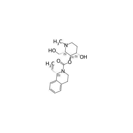 C=C[C@H]1c2ccccc2CCN1C(=O)O[C@@H]1[C@@H](O)CCN(C)[C@H]1CO